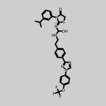 CC(C)c1cccc(N2C(=O)CS/C2=N\C(O)NCCc2ccc(-c3ncn(-c4ccc(OC(F)(F)F)cc4)n3)cc2)c1